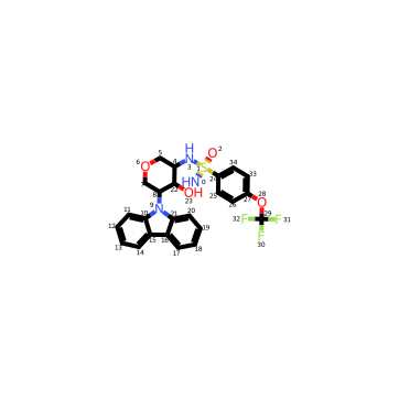 N=S(=O)(NC1COCC(n2c3ccccc3c3ccccc32)C1O)c1ccc(OC(F)(F)F)cc1